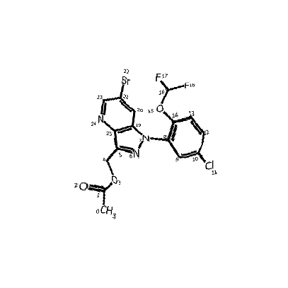 CC(=O)OCc1nn(-c2cc(Cl)ccc2OC(F)F)c2cc(Br)cnc12